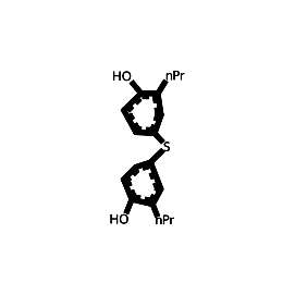 CCCc1cc(Sc2ccc(O)c(CCC)c2)ccc1O